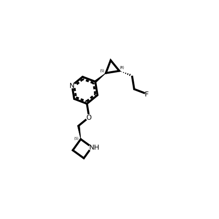 FCC[C@H]1C[C@@H]1c1cncc(OC[C@@H]2CCN2)c1